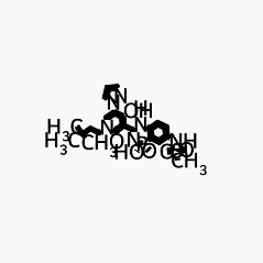 CC(C)(C)CCn1cc(-n2cccn2)c(O)c(C2=NP(=O)(O)c3cc(NS(C)(=O)=O)ccc3N2)c1=O